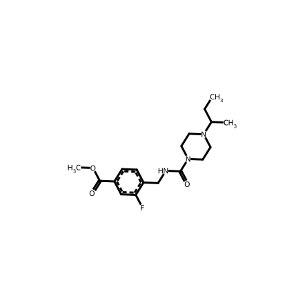 CCC(C)N1CCN(C(=O)NCc2ccc(C(=O)OC)cc2F)CC1